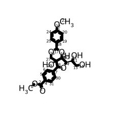 COC(=O)c1ccc(C2O[C@H](C(O)CO)[C@@H]3OC(c4ccc(OC)cc4)OC[C@@]23O)cc1